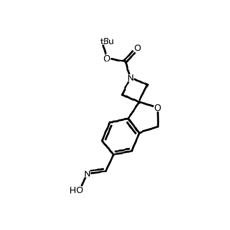 CC(C)(C)OC(=O)N1CC2(C1)OCc1cc(C=NO)ccc12